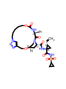 C=C[C@@H]1C[C@]1(NC(=O)[C@@H]1C[C@@H]2CN1C(=O)[C@H](C(C)C)NC(=O)OCCCCCn1cc(nn1)CO2)C(=O)NS(=O)(=O)C1CC1